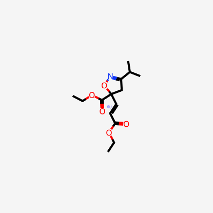 CCOC(=O)/C=C/C1(C(=O)OCC)CC(C(C)C)=NO1